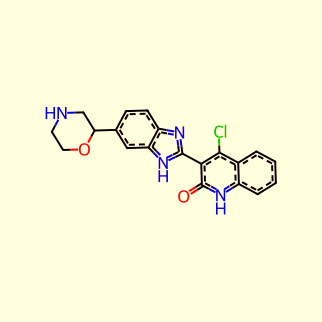 O=c1[nH]c2ccccc2c(Cl)c1-c1nc2ccc(C3CNCCO3)cc2[nH]1